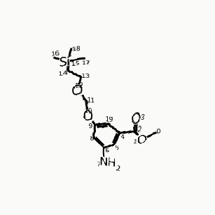 COC(=O)c1cc(N)cc(OCOCC[Si](C)(C)C)c1